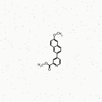 COC(=O)c1cc(-c2ccc3cc(OC)ccc3c2)ccn1